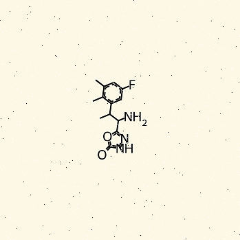 Cc1cc(F)cc(C(C)C(N)c2n[nH]c(=O)o2)c1C